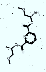 B[C@H](COC)OC(=O)c1cccc(C(=O)O[C@H](C)COC)n1